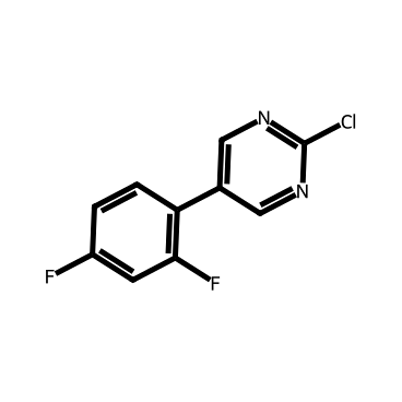 Fc1ccc(-c2cnc(Cl)nc2)c(F)c1